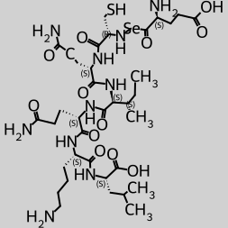 CC[C@H](C)[C@H](NC(=O)[C@H](CCC(N)=O)NC(=O)[C@H](CS)N[Se]C(=O)[C@@H](N)CCC(=O)O)C(=O)N[C@@H](CCC(N)=O)C(=O)N[C@@H](CCCCN)C(=O)N[C@@H](CC(C)C)C(=O)O